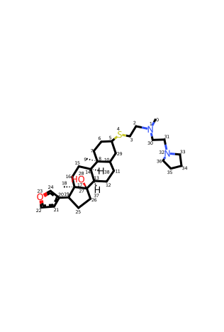 CN(CCSC1CC[C@@]2(C)C(CC[C@@H]3[C@H]2CC[C@]2(C)C(c4ccoc4)CC[C@@]32O)C1)CCN1CCCC1